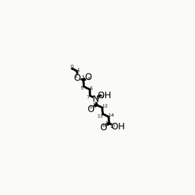 CCOC(=O)CCCN(O)C(=O)CCCC(=O)O